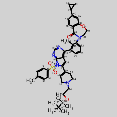 Cc1ccc(S(=O)(=O)n2c(C3=CCN(CCO[Si](C)(C)C(C)(C)C)CC3)cc3c(-c4cccc(N5CCOc6cc(C7CC7)ccc6C5=O)c4C)ncnc32)cc1